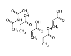 C=CC(=O)O.C=CC(=O)O.C=CC(=O)O.C=CC(=O)O.CC(=O)NC(C)=O